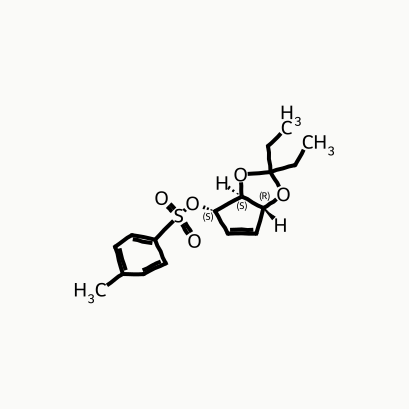 CCC1(CC)O[C@@H]2[C@@H](OS(=O)(=O)c3ccc(C)cc3)C=C[C@H]2O1